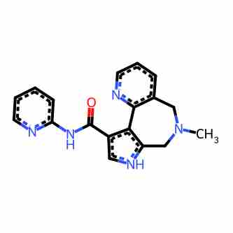 CN1Cc2cccnc2-c2c(C(=O)Nc3ccccn3)c[nH]c2C1